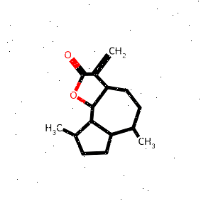 C=C1C(=O)OC2C1CCC(C)C1CCC(C)C12